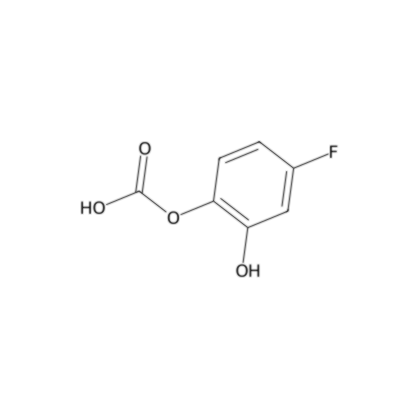 O=C(O)Oc1ccc(F)cc1O